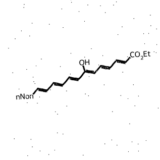 CCCCCCCCCC=CC=CC=CC(O)=CC=CC=CC(=O)OCC